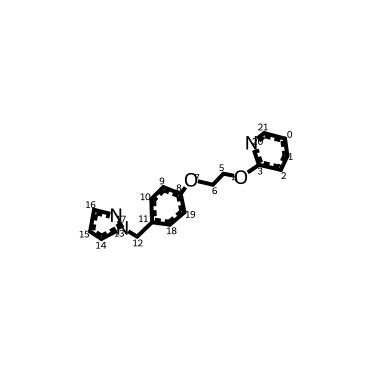 c1ccc(OCCOc2ccc(Cn3cccn3)cc2)nc1